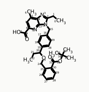 CCc1nc2c(C)cc(C(=O)O)nc2n1Cc1ccc(C(CC)OCc2ccccc2C(=O)OC(C)(C)C)cc1